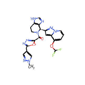 Cn1cc(-c2nnc(C(=O)N3CCc4[nH]cnc4[C@H]3c3cc4c(OC(F)F)cccn4n3)o2)cn1